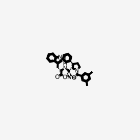 COC(=O)[C@H](Cc1c[nH]c2ccccc12)NC(=O)[C@@H]1[C@@H](c2ccccc2)CCN1C(=O)c1cc(C)cc(C)c1